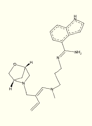 C=C/C(=C\N(C)CCC/N=C(\N)c1cccc2[nH]ccc12)CN1C[C@@H]2C[C@H]1CO2